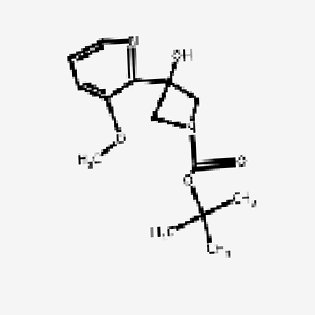 COc1cccnc1C1(O)CN(C(=O)OC(C)(C)C)C1